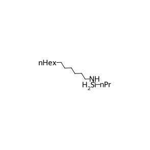 CCCCCCCCCCCCN[SiH2]CCC